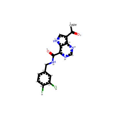 COC(=O)c1c[nH]c2c(C(=O)NCc3ccc(F)c(Cl)c3)ncnc12